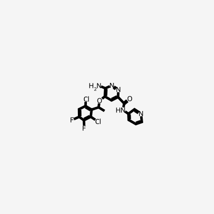 CC(Oc1cc(C(=O)Nc2cccnc2)nnc1N)c1c(Cl)cc(F)c(F)c1Cl